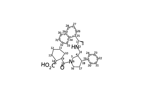 C[C@@H](NCC1CN(C(=O)C2CCCCC2C(=O)O)CCC1c1ccccc1)c1cccc2ccccc12